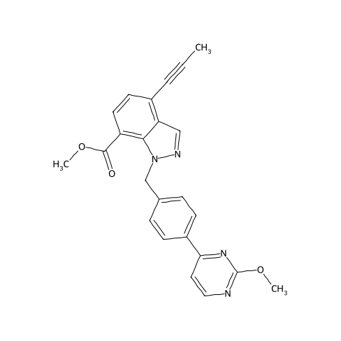 CC#Cc1ccc(C(=O)OC)c2c1cnn2Cc1ccc(-c2ccnc(OC)n2)cc1